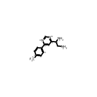 NCC(N)c1cc(-c2ccc(C(F)(F)F)cc2)ncn1